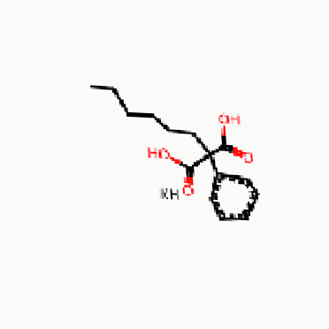 CCCCCCC(C(=O)O)(C(=O)O)c1ccccc1.[KH]